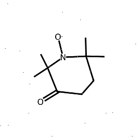 CC1(C)CCC(=O)C(C)(C)N1[O]